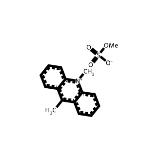 COS(=O)(=O)[O-].Cc1c2ccccc2[n+](C)c2ccccc12